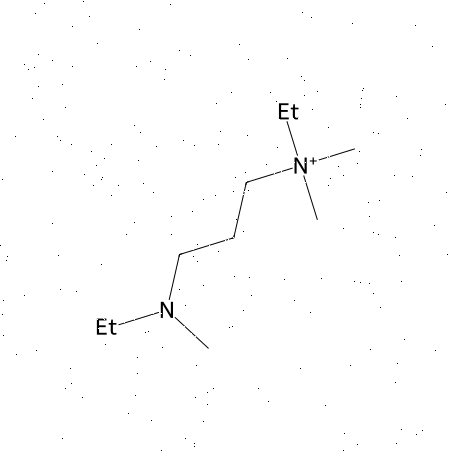 CCN(C)CCC[N+](C)(C)CC